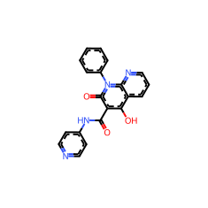 O=C(Nc1ccncc1)c1c(O)c2cccnc2n(-c2ccccc2)c1=O